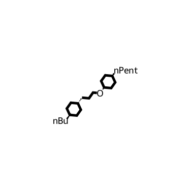 CCCCC[C@H]1CC[C@H](OCCC[C@H]2CC[C@H](CCCC)CC2)CC1